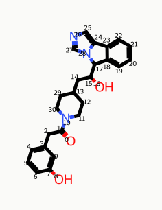 O=C(Cc1cccc(O)c1)N1CCC(CC(O)C2c3ccccc3-c3cncn32)CC1